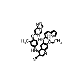 CCOc1cc2ncc(C#N)c(Nc3ccc(Oc4cc5nncn5cn4)c(C)c3)c2cc1NC(=O)C=Cc1ccc[nH]1